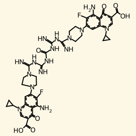 N=C(NC(=N)N1CCN(c2cc3c(c(N)c2F)c(=O)c(C(=O)O)cn3C2CC2)CC1)NC(=O)NC(=N)NC(=N)N1CCN(c2cc3c(c(N)c2F)c(=O)c(C(=O)O)cn3C2CC2)CC1